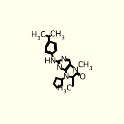 CCC1C(=O)N(C)c2cnc(Nc3ccc(C(C)C)cc3)nc2N1C1CCCC1